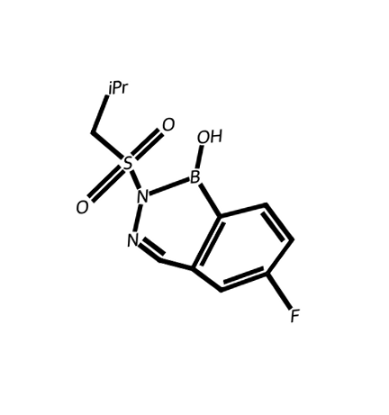 CC(C)CS(=O)(=O)N1N=Cc2cc(F)ccc2B1O